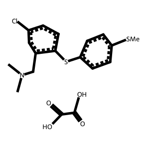 CSc1ccc(Sc2ccc(Cl)cc2CN(C)C)cc1.O=C(O)C(=O)O